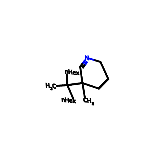 CCCCCCC(C)(CCCCCC)C1(C)C=NCCC1